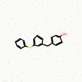 Oc1ccc(Cc2cccc(Sc3ccccc3)c2)cc1